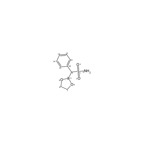 NS(=O)(=O)C(B1OCCO1)c1ccccc1